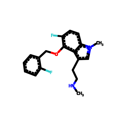 CNCCc1cn(C)c2ccc(F)c(OCc3ccccc3F)c12